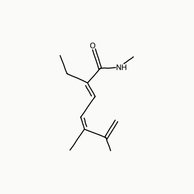 C=C(C)/C(C)=C\C=C(/CC)C(=O)NC